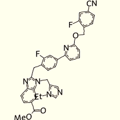 CCn1cncc1Cn1c(Cc2ccc(-c3cccc(OCc4ccc(C#N)cc4F)n3)cc2F)nc2ccc(C(=O)OC)cc21